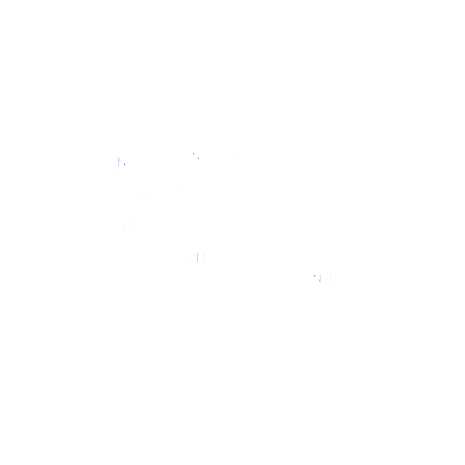 Cc1c(C(N)=O)ncc(-c2ccccc2)c1C1CCCNC1